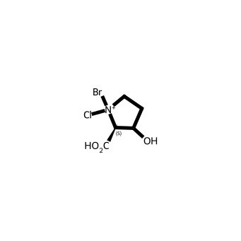 O=C(O)[C@@H]1C(O)CC[N+]1(Cl)Br